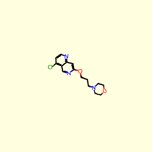 Clc1ccnc2cc(OCCCN3CCOCC3)ncc12